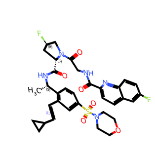 C[C@H](NC(=O)[C@@H]1C[C@@H](F)CN1C(=O)CNC(=O)c1ccc2cc(F)ccc2n1)c1ccc(S(=O)(=O)N2CCOCC2)cc1/C=C/C1CC1